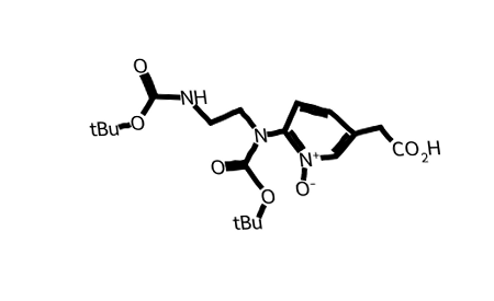 CC(C)(C)OC(=O)NCCN(C(=O)OC(C)(C)C)c1ccc(CC(=O)O)c[n+]1[O-]